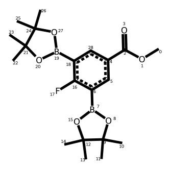 COC(=O)c1cc(B2OC(C)(C)C(C)(C)O2)c(F)c(B2OC(C)(C)C(C)(C)O2)c1